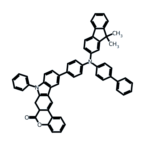 CC1(C)c2ccccc2-c2ccc(N(c3ccc(-c4ccccc4)cc3)c3ccc(-c4ccc5c(c4)c4c(n5-c5ccccc5)CC5C(=O)Oc6ccccc6C5=C4)cc3)cc21